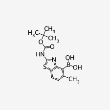 Cc1ccc2sc(NC(=O)OC(C)(C)C)nc2c1B(O)O